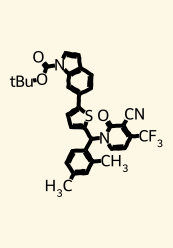 Cc1ccc(C(c2ccc(-c3ccc4ccn(C(=O)OC(C)(C)C)c4c3)s2)n2ccc(C(F)(F)F)c(C#N)c2=O)c(C)c1